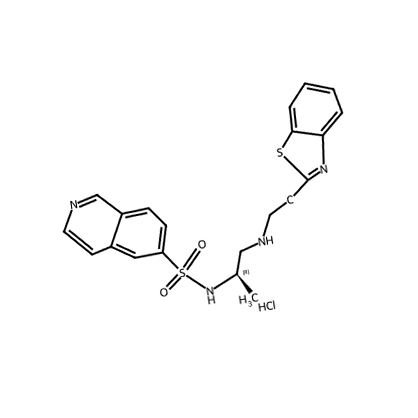 C[C@H](CNCCc1nc2ccccc2s1)NS(=O)(=O)c1ccc2cnccc2c1.Cl